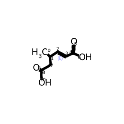 CC(/C=C/C(=O)O)CC(=O)O